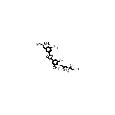 CCCN(C)Cc1cc(C)cc(-c2nc(-c3cc(C)c(OCC(O)CNC(=O)CO)c(CC)c3)no2)c1